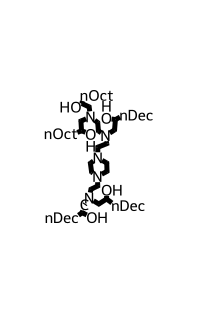 CCCCCCCCCCC(O)CN(CCN1CCN(CCN(CC(O)CCCCCCCCCC)CC(O)CCCCCCCCCC)CC1)CCN(CC(O)CCCCCCCC)CC(O)CCCCCCCC